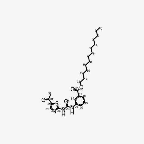 CCCCCCCCCCCCCCOC(=O)c1cccc(NC(=O)Nc2ncc(C(C)=O)s2)c1